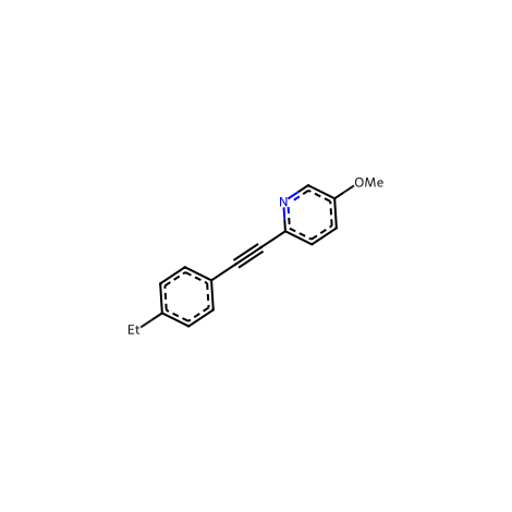 CCc1ccc(C#Cc2ccc(OC)cn2)cc1